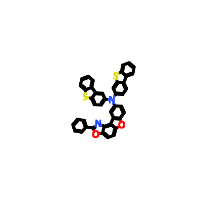 c1ccc(-c2nc3c(ccc4oc5ccc(N(c6ccc7c(c6)sc6ccccc67)c6ccc7sc8ccccc8c7c6)cc5c43)o2)cc1